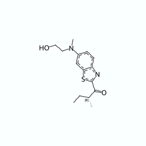 CC[C@@H](C)C(=O)c1nc2ccc(N(C)CCO)cc2s1